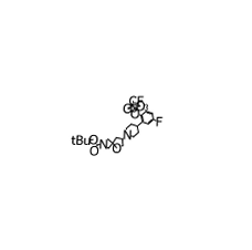 CC(C)(C)OC(=O)N1CC2(C[C@H](N3CCC(c4cc(F)ccc4OS(=O)(=O)C(F)(F)F)CC3)CO2)C1